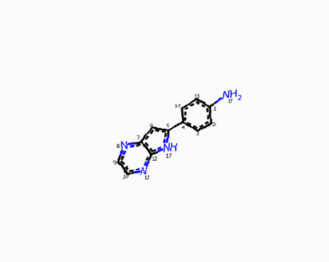 Nc1ccc(-c2cc3nccnc3[nH]2)cc1